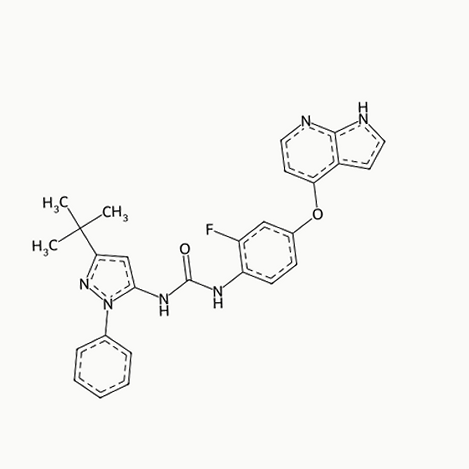 CC(C)(C)c1cc(NC(=O)Nc2ccc(Oc3ccnc4[nH]ccc34)cc2F)n(-c2ccccc2)n1